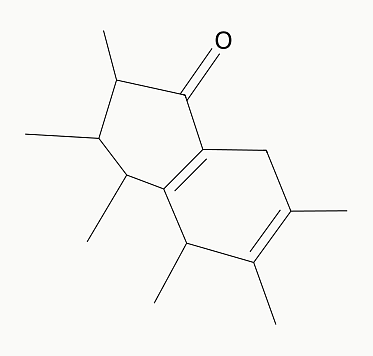 CC1=C(C)C(C)C2=C(C1)C(=O)C(C)C(C)C2C